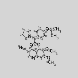 COc1cc2ncc(C#N)c(OC(=O)N(c3ccc(OC(C)C)cc3)N3C[CH]CC3)c2cc1OC